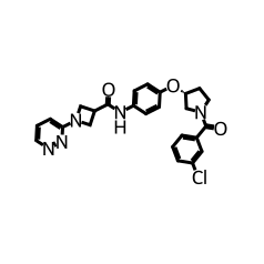 O=C(Nc1ccc(O[C@@H]2CCN(C(=O)c3cccc(Cl)c3)C2)cc1)C1CN(c2cccnn2)C1